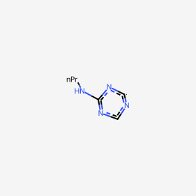 CCCNc1n[c]ncn1